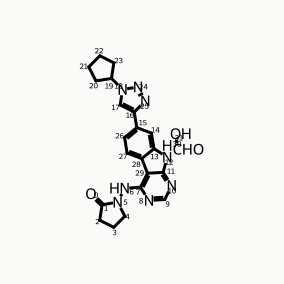 O=C1CCCN1Nc1ncnc2[nH]c3cc(-c4cn(C5CCCC5)nn4)ccc3c12.O=CO